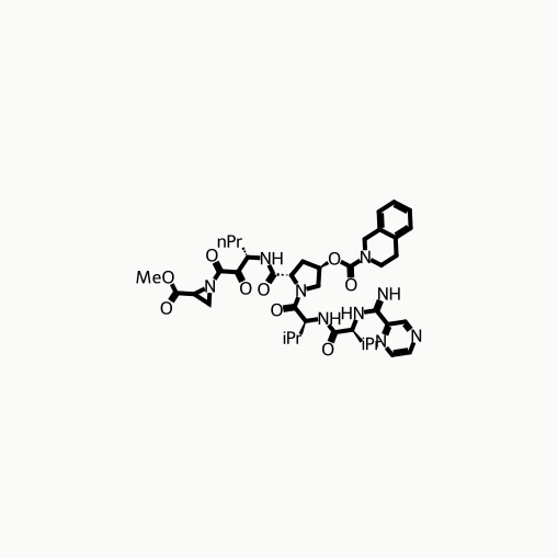 CCC[C@H](NC(=O)[C@@H]1C[C@@H](OC(=O)N2CCc3ccccc3C2)CN1C(=O)[C@@H](NC(=O)[C@@H](NC(=N)c1cnccn1)C(C)C)C(C)C)C(=O)C(=O)N1CC1C(=O)OC